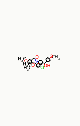 COc1ccc(C(O)c2ccc(N3C(=O)Cc4cc(OC)ccc4[C@@]3(OC(C)C)c3ccc(Cl)cc3)cc2)cc1